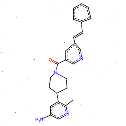 Cc1ncc(N)cc1C1CCN(C(=O)c2cncc(C=Cc3ccccc3)c2)CC1